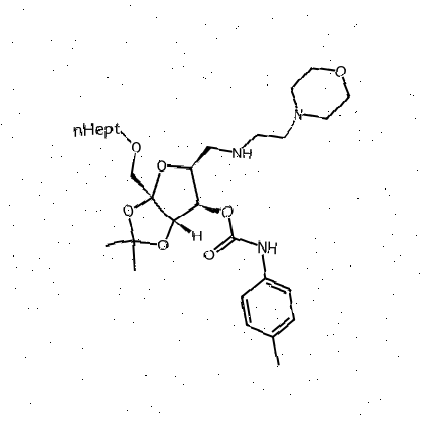 CCCCCCCOC[C@@]12O[C@@H](CNCCN3CCOCC3)[C@@H](OC(=O)Nc3ccc(C)cc3)[C@@H]1OC(C)(C)O2